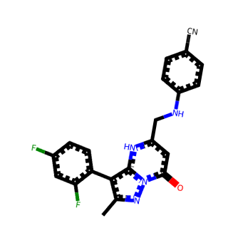 Cc1nn2c(=O)cc(CNc3ccc(C#N)cc3)[nH]c2c1-c1ccc(F)cc1F